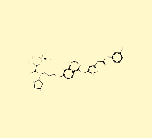 CC(C)(C)C(OP(=O)(O)O)C(N(CCCOc1ccc2c(Nc3cc(CC(=O)Nc4cccc(F)c4)[nH]n3)ncnc2c1)C1CCCC1)C(C)(C)C